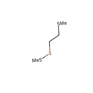 CSCCSSC